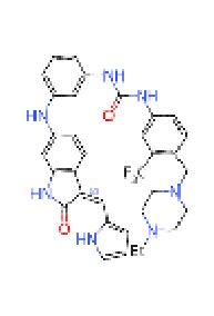 CCN1CCN(Cc2ccc(NC(=O)Nc3cccc(Nc4ccc5c(c4)NC(=O)/C5=C\c4ccc[nH]4)c3)cc2C(F)(F)F)CC1